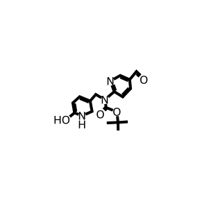 CC(C)(C)OC(=O)N(CC1=CC=C(O)NC1)c1ccc(C=O)cn1